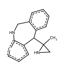 CC1(C2c3ccccc3CNc3ccccc32)CN1